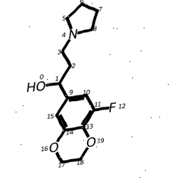 OC(CCN1CCCC1)c1cc(F)c2c(c1)OCCO2